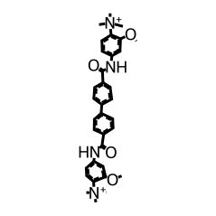 COc1cc(NC(=O)c2ccc(-c3ccc(C(=O)Nc4ccc([N+](C)(C)C)c(OC)c4)cc3)cc2)ccc1[N+](C)(C)C